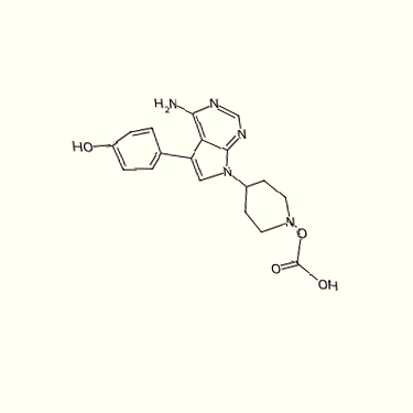 Nc1ncnc2c1c(-c1ccc(O)cc1)cn2C1CCN(OC(=O)O)CC1